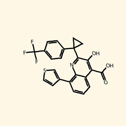 O=C(O)c1c(O)c(C2(c3ccc(C(F)(F)F)cc3)CC2)nc2c(-c3ccsc3)cccc12